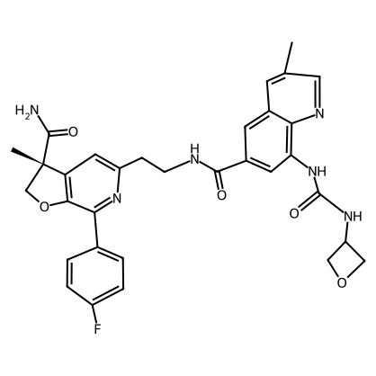 Cc1cnc2c(NC(=O)NC3COC3)cc(C(=O)NCCc3cc4c(c(-c5ccc(F)cc5)n3)OC[C@]4(C)C(N)=O)cc2c1